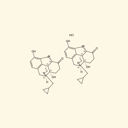 Cl.O=C1CC[C@@]2(O)[C@H]3Cc4ccc(O)c5c4[C@@]2(CCN3CC2CC2)[C@H]1O5.O=C1CC[C@@]2(O)[C@H]3Cc4ccc(O)c5c4[C@@]2(CCN3CC2CC2)[C@H]1O5